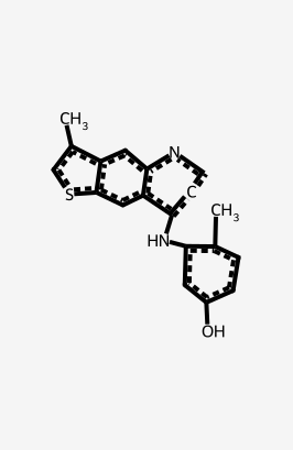 Cc1ccc(O)cc1Nc1ccnc2cc3c(C)csc3cc12